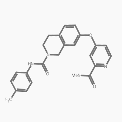 CNC(=O)c1cc(Oc2ccc3c(c2)CN(C(=O)Nc2ccc(C(F)(F)F)cc2)CC3)ccn1